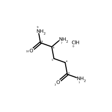 Cl.NC(=O)CCC(N)C(N)=O